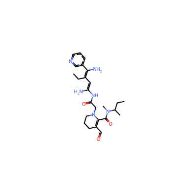 CCC(/C=C(\N)NC(=O)CN1CCCC(C=O)=C1C(=O)N(C)C(C)CC)=C(/N)c1cccnc1